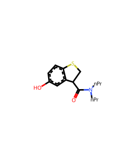 CCCN(CCC)C(=O)C1CSc2ccc(O)cc21